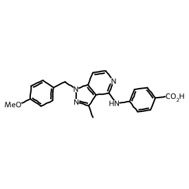 COc1ccc(Cn2nc(C)c3c(Nc4ccc(C(=O)O)cc4)nccc32)cc1